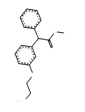 COCCOc1cccc(C(C(=O)NO)c2ccccc2)c1